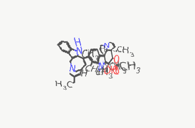 CCC1=C[C@@H]2C[N@](C1)Cc1c([nH]c3ccccc13)[C@@](C)(c1ccc3c(c1C)N(C)[C@H]1[C@](C)(O)[C@H](OC(C)=O)[C@]4(CC)C=CCN5CC[C@]31[C@@H]54)C2